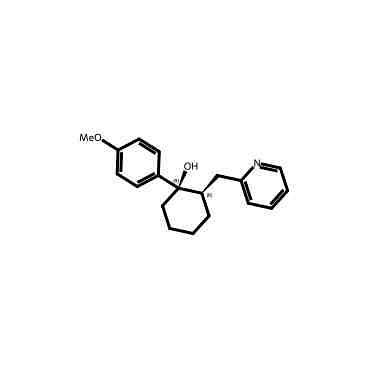 COc1ccc([C@@]2(O)CCCC[C@@H]2Cc2ccccn2)cc1